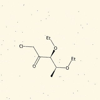 CCO[C@@H](C)[C@H](OCC)C(=O)CCl